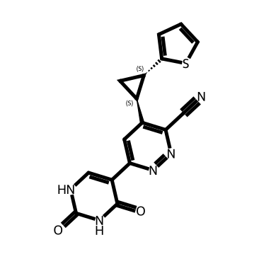 N#Cc1nnc(-c2c[nH]c(=O)[nH]c2=O)cc1[C@H]1C[C@@H]1c1cccs1